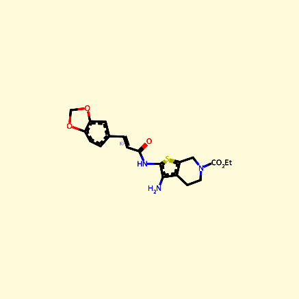 CCOC(=O)N1CCc2c(sc(NC(=O)/C=C/c3ccc4c(c3)OCO4)c2N)C1